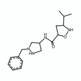 CC(C)C1CC(C(=O)NC2CNN(Cc3ccccc3)C2)ON1